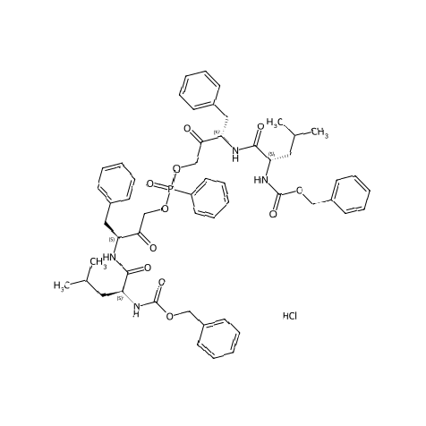 CC(C)C[C@H](NC(=O)OCc1ccccc1)C(=O)N[C@@H](Cc1ccccc1)C(=O)COP(=O)(OCC(=O)[C@H](Cc1ccccc1)NC(=O)[C@H](CC(C)C)NC(=O)OCc1ccccc1)c1ccccc1.Cl